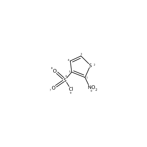 O=[N+]([O-])c1sccc1S(=O)(=O)Cl